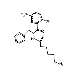 NCCCCCC(=O)N[C@@H](Cc1ccccc1)C(=O)c1cc([N+](=O)[O-])ccc1O